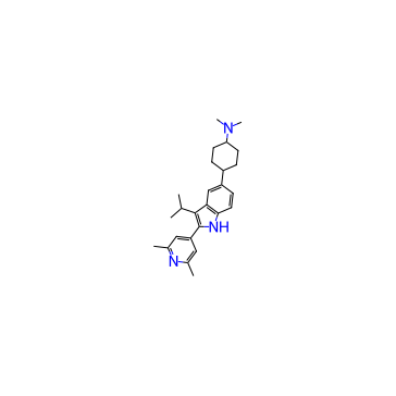 Cc1cc(-c2[nH]c3ccc(C4CCC(N(C)C)CC4)cc3c2C(C)C)cc(C)n1